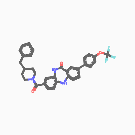 O=C1Nc2cc(C(=O)N3CCC(Cc4ccccc4)CC3)ccc2Nc2ccc(-c3ccc(OC(F)(F)F)cc3)cc21